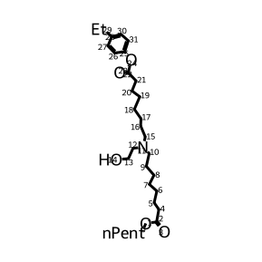 CCCCCOC(=O)CCCCCCCN(CCO)CCCCCCCC(=O)Oc1ccc(CC)cc1